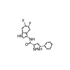 O=C(Nc1c[nH]c2cc(F)c(F)cc12)c1cc(-c2ccccc2)[nH]n1